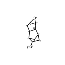 OC1CC2CC1C1CC3OC3C21